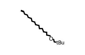 C=CCCCCCCCCCCCCCCOCCC(C)(C)C